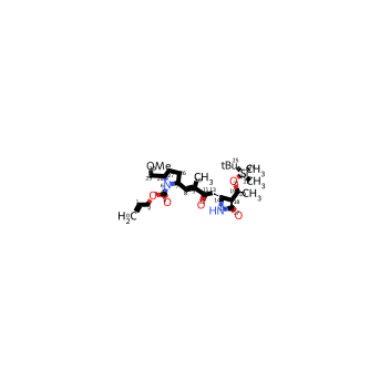 C=CCOC(=O)N1C(C=C(C)C(=O)C[C@H]2NC(=O)[C@@H]2[C@@H](C)O[Si](C)(C)C(C)(C)C)CCC1COC